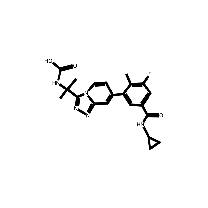 Cc1c(F)cc(C(=O)NC2CC2)cc1-c1ccn2c(C(C)(C)NC(=O)O)nnc2c1